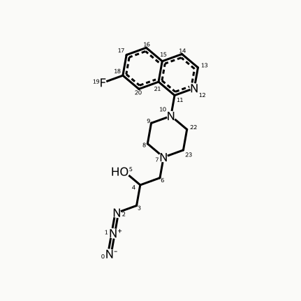 [N-]=[N+]=NCC(O)CN1CCN(c2nccc3ccc(F)cc23)CC1